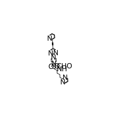 O=CNC(CCCc1ncccn1)CS(=O)(=O)N1CCN(c2ncc(C#Cc3ccccn3)cn2)CC1